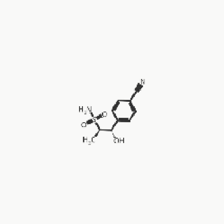 C[C@H]([C@@H](O)c1ccc(C#N)cc1)S(N)(=O)=O